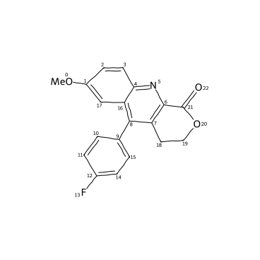 COc1ccc2nc3c(c(-c4ccc(F)cc4)c2c1)CCOC3=O